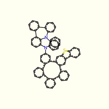 c1ccc(N(c2ccc3c4ccccc4c4ccccc4c4ccccc4c4cc5c(cc4c3c2)sc2ccccc25)c2cccc3c2N(c2ccccc2)c2ccccc2-c2ccccc2-3)cc1